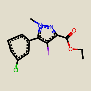 CCOC(=O)c1nn(C)c(-c2cccc(Cl)c2)c1I